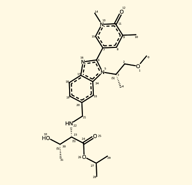 COC[C@H](C)n1c(-c2cc(C)c(=O)n(C)c2)nc2ccc(CN[C@H](C(=O)OC(C)C)[C@H](C)O)cc21